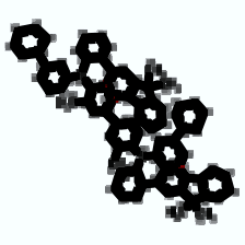 Cc1cc(-c2ccc(N(c3cccc(-c4ccccc4)c3)c3ccccc3-c3ccc4c(c3)C(C)(C)c3ccccc3-4)c(C)c2)ccc1N(c1cccc(-c2ccccc2)c1)c1ccccc1-c1ccc2c(c1)C(C)(C)c1ccccc1-2